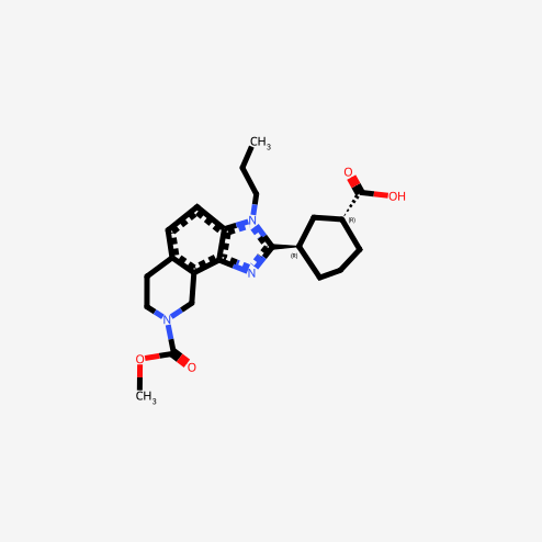 CCCn1c([C@@H]2CCC[C@@H](C(=O)O)C2)nc2c3c(ccc21)CCN(C(=O)OC)C3